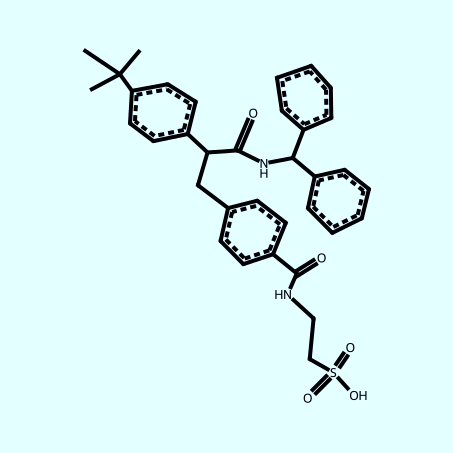 CC(C)(C)c1ccc(C(Cc2ccc(C(=O)NCCS(=O)(=O)O)cc2)C(=O)NC(c2ccccc2)c2ccccc2)cc1